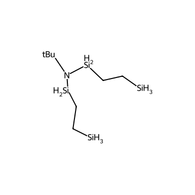 CC(C)(C)N([SiH2]CC[SiH3])[SiH2]CC[SiH3]